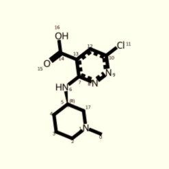 CN1CCC[C@@H](Nc2nnc(Cl)cc2C(=O)O)C1